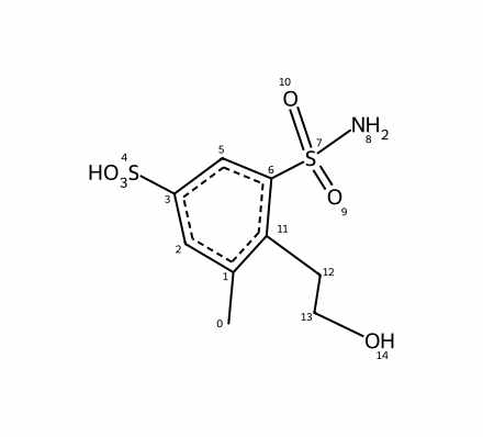 Cc1cc(S(=O)(=O)O)cc(S(N)(=O)=O)c1CCO